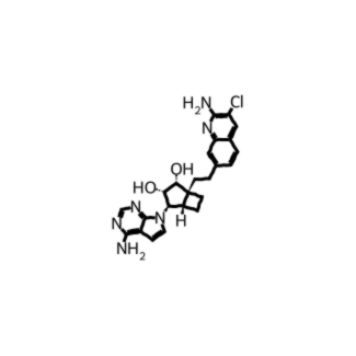 Nc1nc2cc(CC[C@@]34CC[C@@H]3[C@@H](n3ccc5c(N)ncnc53)[C@H](O)[C@@H]4O)ccc2cc1Cl